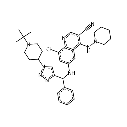 CC(C)(C)N1CCC(n2cc(C(Nc3cc(Cl)c4ncc(C#N)c(NN5CCCCC5)c4c3)c3ccccc3)nn2)CC1